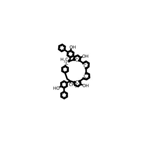 CC1(c2ccc(O)c(-c3ccccc3)c2)Cc2ccc(cc2)CC(C)(c2ccc(O)c(-c3ccccc3)c2)c2ccc(O)c(c2)-c2cccc(c2)-c2cccc(c2)-c2cc1ccc2O